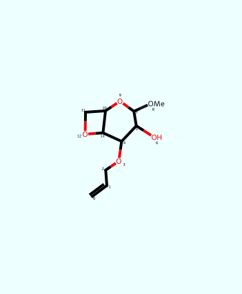 C=CCOC1C(O)C(OC)OC2COC21